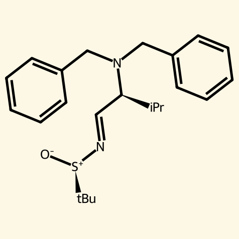 CC(C)[C@@H](/C=N/[S@+]([O-])C(C)(C)C)N(Cc1ccccc1)Cc1ccccc1